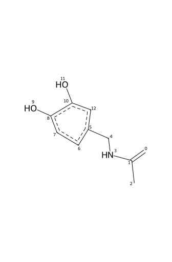 C=C(C)NCc1ccc(O)c(O)c1